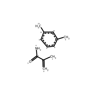 C=C(C)C(N)=O.Cc1cccc(C)c1